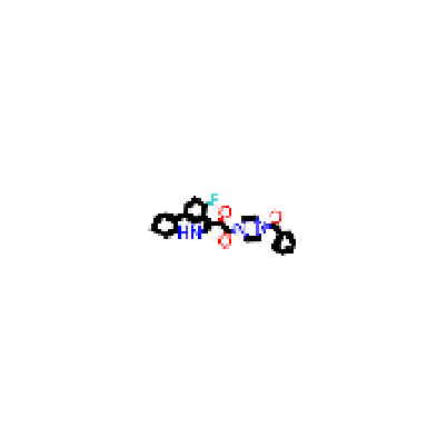 O=C(C(=O)N1CCN(C(=O)c2ccccc2)CC1)c1c[nH]c2c(-c3ccccc3)ccc(F)c12